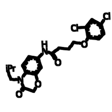 CC(C)CN1C(=O)COc2cc(NC(=O)CCCOc3ccc(Cl)cc3Cl)ccc21